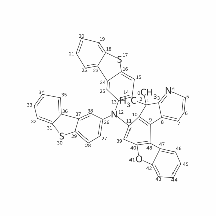 CC1(C)c2ncccc2-c2c1c(N(c1ccc3sc4ccccc4c3c1)c1ccc3sc4ccccc4c3c1)cc1oc3ccccc3c21